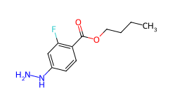 CCCCOC(=O)c1ccc(NN)cc1F